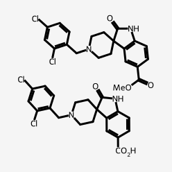 COC(=O)c1ccc2c(c1)C1(CCN(Cc3ccc(Cl)cc3Cl)CC1)C(=O)N2.O=C(O)c1ccc2c(c1)C1(CCN(Cc3ccc(Cl)cc3Cl)CC1)C(=O)N2